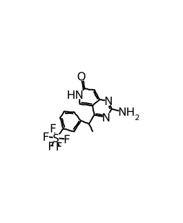 CC(c1cccc(S(F)(F)(F)(F)F)c1)c1nc(N)nc2cc(=O)[nH]cc12